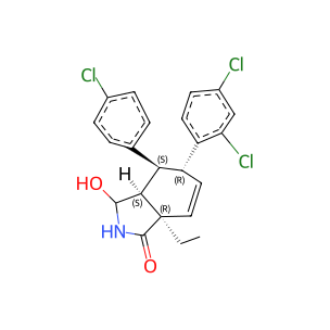 CC[C@@]12C=C[C@@H](c3ccc(Cl)cc3Cl)[C@H](c3ccc(Cl)cc3)[C@@H]1C(O)NC2=O